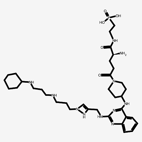 N[C@@H](CCC(=O)N1CCC(Nc2nc(NCc3cn(CCCNCCCNC4CCCCC4)[nH]3)nc3ccccc23)CC1)C(=O)NCCP(=O)(O)O